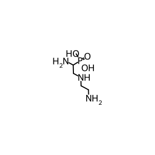 NCCNCC(N)P(=O)(O)O